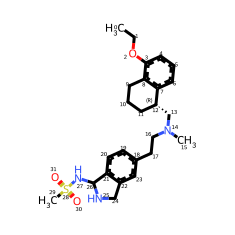 CCOc1cccc2c1CCC[C@H]2CN(C)CCc1ccc2c(c1)CNC2NS(C)(=O)=O